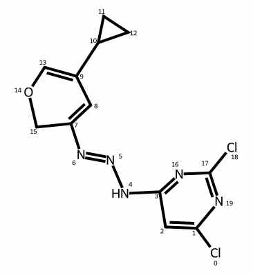 Clc1cc(NN=NC2=CC(C3CC3)=COC2)nc(Cl)n1